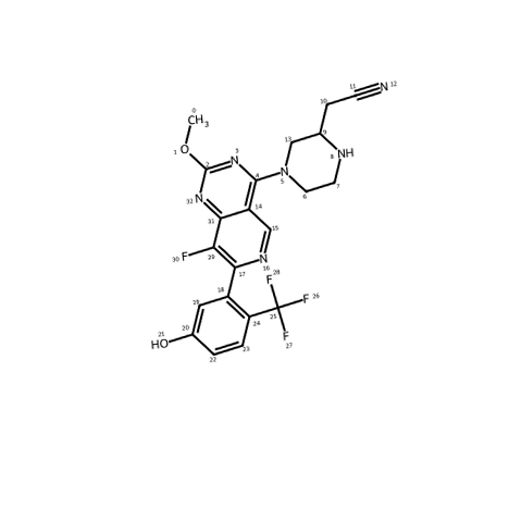 COc1nc(N2CCNC(CC#N)C2)c2cnc(-c3cc(O)ccc3C(F)(F)F)c(F)c2n1